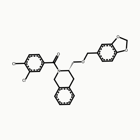 O=C(c1ccc(Cl)c(Cl)c1)N1Cc2ccccc2C[C@H]1COCc1ccc2c(c1)OCO2